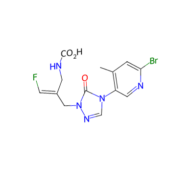 Cc1cc(Br)ncc1-n1cnn(CC(=CF)CNC(=O)O)c1=O